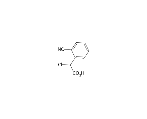 N#Cc1ccccc1C(Cl)C(=O)O